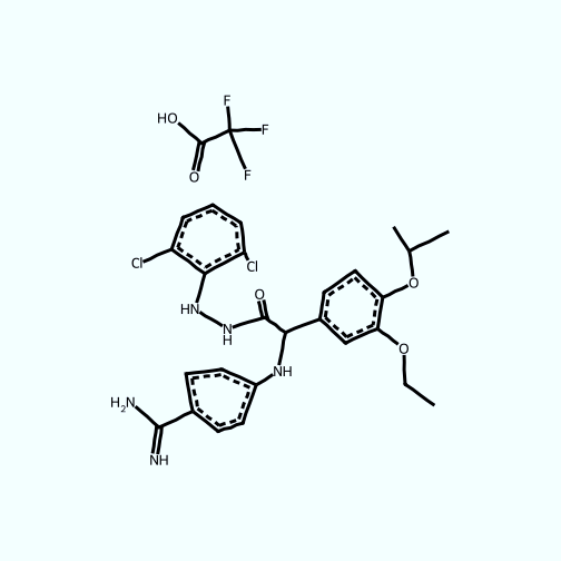 CCOc1cc(C(Nc2ccc(C(=N)N)cc2)C(=O)NNc2c(Cl)cccc2Cl)ccc1OC(C)C.O=C(O)C(F)(F)F